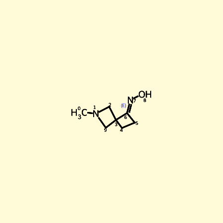 CN1CC2(CC/C2=N\O)C1